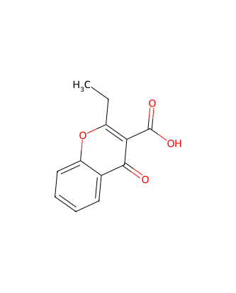 CCc1oc2ccccc2c(=O)c1C(=O)O